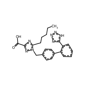 CCCCCc1nc(C(=O)O)nn1Cc1ccc(-c2ccccc2-c2nnn[nH]2)cc1